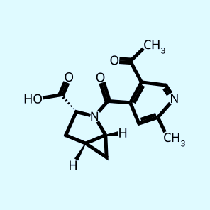 CC(=O)c1cnc(C)cc1C(=O)N1[C@@H](C(=O)O)C[C@H]2C[C@H]21